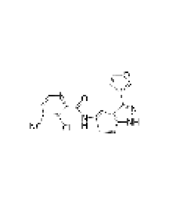 N#Cc1ccnc(C(=O)Nc2ccc3[nH]nc(-c4ccoc4)c3c2)c1Cl